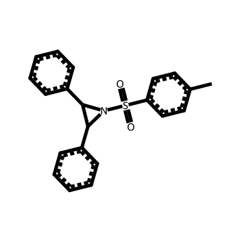 Cc1ccc(S(=O)(=O)N2C(c3ccccc3)C2c2ccccc2)cc1